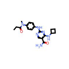 CCC(=O)N(C)c1ccc(Nc2ncc(C(N)=O)c(NC3CCC3)n2)cc1